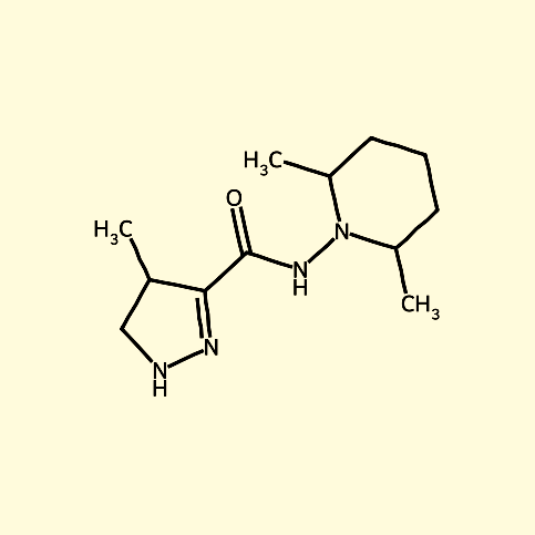 CC1CNN=C1C(=O)NN1C(C)CCCC1C